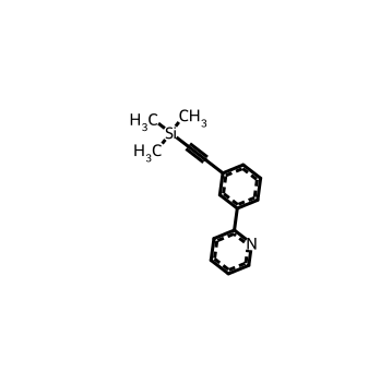 C[Si](C)(C)C#Cc1cccc(-c2ccccn2)c1